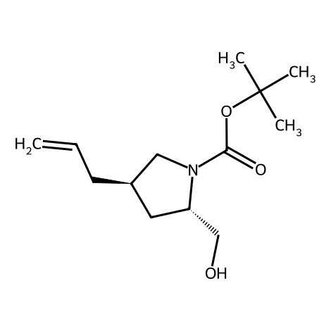 C=CC[C@@H]1C[C@@H](CO)N(C(=O)OC(C)(C)C)C1